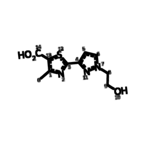 Cc1nc(-c2ccn(CCO)n2)sc1C(=O)O